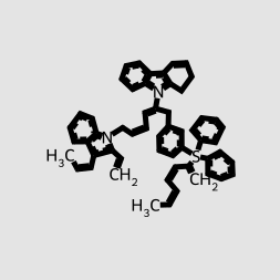 C=Cc1c(/C=C\C)c2ccccc2n1C/C=C\C=C(/Cc1cccc(S(C(=C)/C=C\C=C/C)(c2ccccc2)c2ccccc2)c1)n1c2c(c3ccccc31)C=CCC2